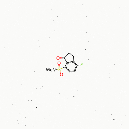 CNS(=O)(=O)c1ccc(F)c2c1C(=O)CC2